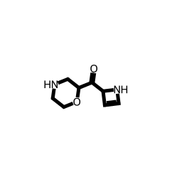 O=C([C]1CNCCO1)C1C=CN1